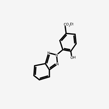 CCOC(=O)c1ccc(O)c(-n2nc3ccccc3n2)c1